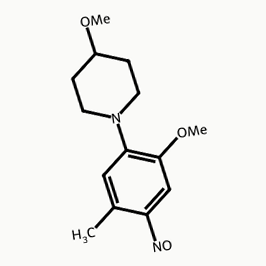 COc1cc(N=O)c(C)cc1N1CCC(OC)CC1